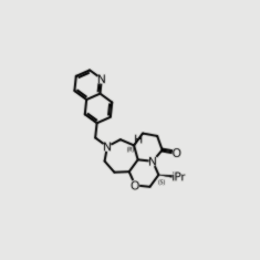 CC(C)[C@H]1COC2CCN(Cc3ccc4ncccc4c3)C[C@H]3CCC(=O)N1C23